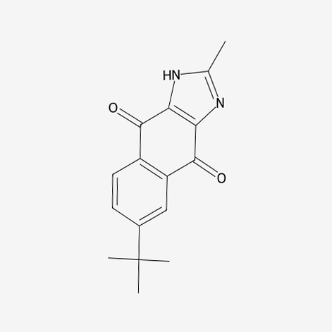 Cc1nc2c([nH]1)C(=O)c1ccc(C(C)(C)C)cc1C2=O